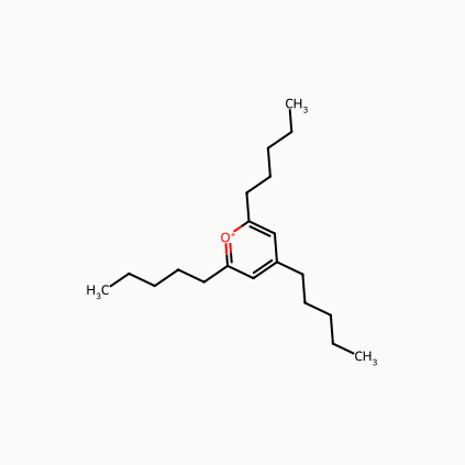 CCCCCc1cc(CCCCC)[o+]c(CCCCC)c1